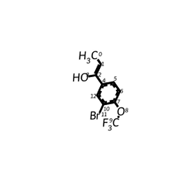 CC=C(O)c1ccc(OC(F)(F)F)c(Br)c1